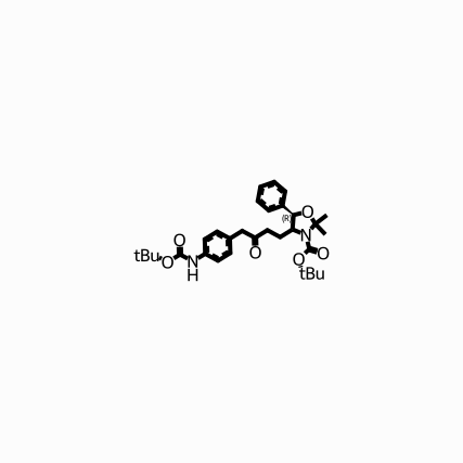 CC(C)(C)OC(=O)Nc1ccc(CC(=O)CCC2[C@@H](c3ccccc3)OC(C)(C)N2C(=O)OC(C)(C)C)cc1